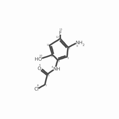 Nc1cc(NC(=O)CCl)c(O)cc1F